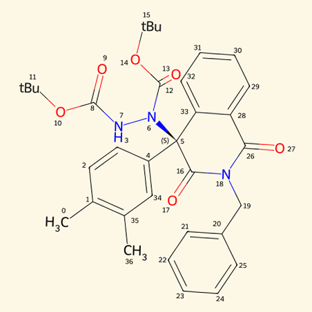 Cc1ccc([C@@]2(N(NC(=O)OC(C)(C)C)C(=O)OC(C)(C)C)C(=O)N(Cc3ccccc3)C(=O)c3ccccc32)cc1C